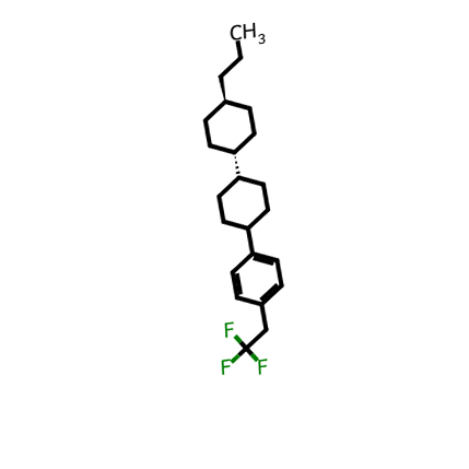 CCC[C@H]1CC[C@H](C2CCC(c3ccc(CC(F)(F)F)cc3)CC2)CC1